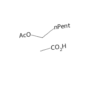 CC(=O)O.CCCCCCOC(C)=O